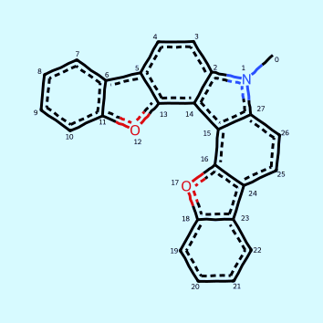 Cn1c2ccc3c4ccccc4oc3c2c2c3oc4ccccc4c3ccc21